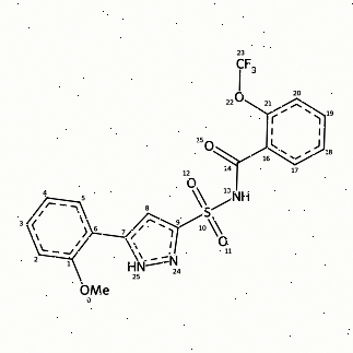 COc1ccccc1-c1cc(S(=O)(=O)NC(=O)c2ccccc2OC(F)(F)F)n[nH]1